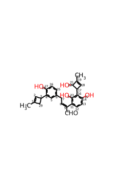 CC1=CC(c2cc(CC=C(C=O)c3ccc(O)c(C4C=C(C)C4O)c3O)ccc2O)C1